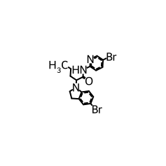 CCCC(C(=O)Nc1ccc(Br)cn1)N1CCc2cc(Br)ccc21